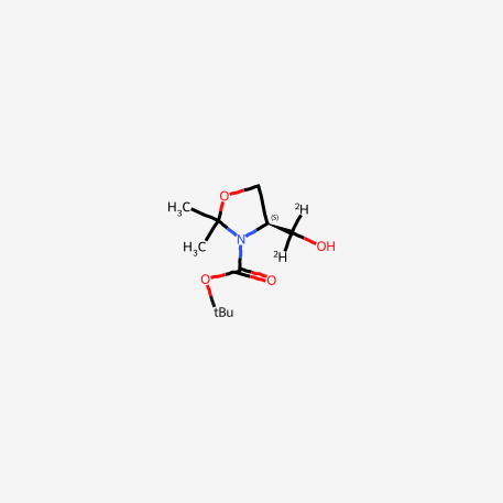 [2H]C([2H])(O)[C@@H]1COC(C)(C)N1C(=O)OC(C)(C)C